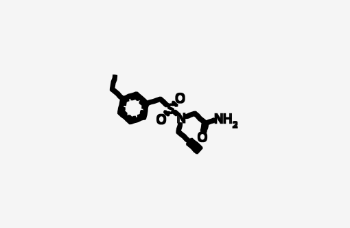 C#CCN(CC(N)=O)S(=O)(=O)Cc1cccc(CC)c1